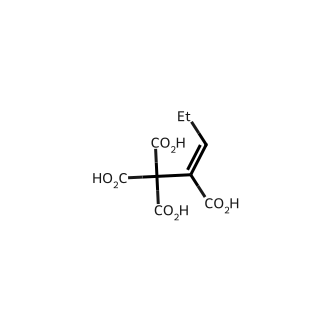 CCC=C(C(=O)O)C(C(=O)O)(C(=O)O)C(=O)O